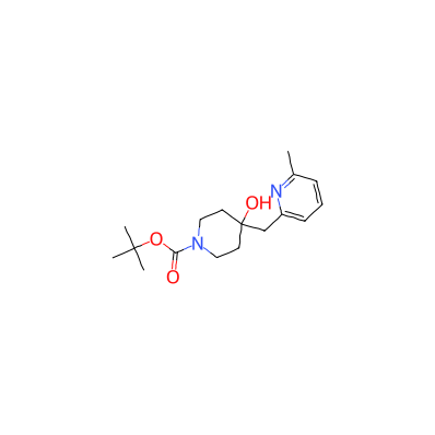 Cc1cccc(CC2(O)CCN(C(=O)OC(C)(C)C)CC2)n1